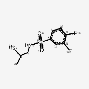 CC(S)CNS(=O)(=O)c1ccc(F)c(F)c1